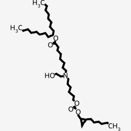 CCCCCCCCC(CCCCCCCC)OC(=O)CCCCCCCN(CCO)CCCCCCOC(=O)OCC1CC1CCCCCC